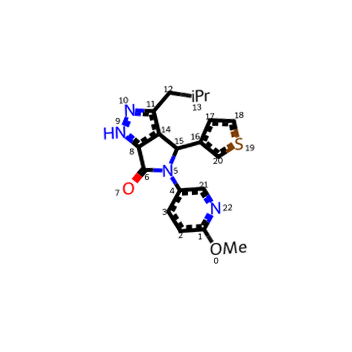 COc1ccc(N2C(=O)c3[nH]nc(CC(C)C)c3C2c2ccsc2)cn1